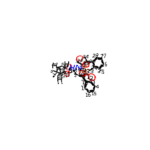 CC1(C)[C@@H]2C[C@H]3OB([C@H](Cc4coc5ccccc45)NS(=O)(=O)Cc4ccccc4C4CCOC4)O[C@@]3(C)[C@H]1C2